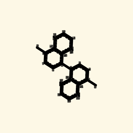 Cc1ccc(-c2ccc(C)c3nccnc23)c2nccnc12